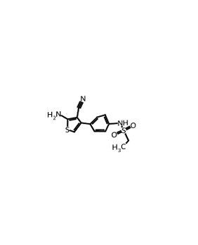 CCS(=O)(=O)Nc1ccc(-c2csc(N)c2C#N)cc1